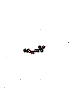 C1=C(c2ccc3sc4cc5c(ccc6c7ccccc7sc56)cc4c3c2)CCc2cc(-c3c4ccccc4c(-c4ccccc4)c4ccccc34)ccc21